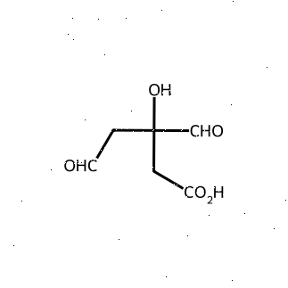 O=CCC(O)(C=O)CC(=O)O